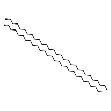 C=CC=CCCCCCCCCCCCCCCCCCCCCCCCC.C=CC=CCCCCCCCCCCCCCCCCCCCCCCCCC